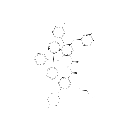 COCCNc1cc(N2CCN(C)CC2)ccc1C(=O)NC(=N)c1cc(Cc2cccc(F)c2)c(-c2ccc(O)c(F)c2)cc1NC(c1ccccc1)(c1ccccc1)c1ccccc1